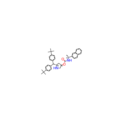 C[C@H](NC(=O)O[C@H]1CN[C@@H](C(c2ccc(C(C)(C)C)cc2)c2ccc(C(C)(C)C)cc2)C1)c1ccc2ccccc2c1